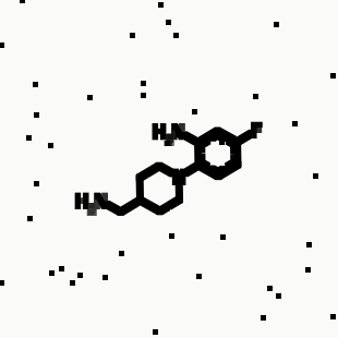 NCC1CCN(c2ccc(F)cc2N)CC1